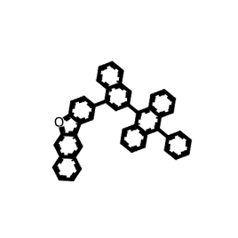 c1ccc(-c2c3ccccc3c(-c3cc(-c4ccc5oc6cc7ccccc7cc6c5c4)c4ccccc4c3)c3ccccc23)cc1